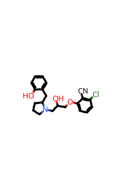 N#Cc1c(Cl)cccc1OCC(O)CN1CCCC1Cc1ccccc1O